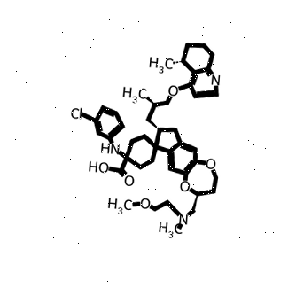 COCCN(C)C[C@@H]1CCOc2cc3c(cc2O1)C1(CCC(Nc2cccc(Cl)c2)(C(=O)O)CC1)[C@@H](C[C@@H](C)COc1ccnc2c1[C@H](C)CCC2)C3